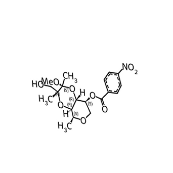 CO[C@@]1(C)O[C@H]2[C@H](O[C@]1(C)CO)[C@H](C)OC[C@@H]2OC(=O)c1ccc([N+](=O)[O-])cc1